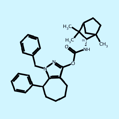 CC12CCC(C1)C(C)(C)[C@H]2NC(=O)Oc1nn(Cc2ccccc2)c2c1CCCCC2c1ccccc1